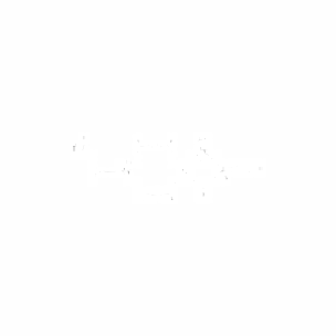 CC(C)CN1CCC2(CC1)CC(=O)N2